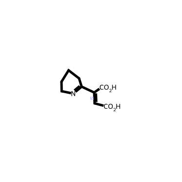 O=C(O)/C=C(\C(=O)O)C1=NCCCC1